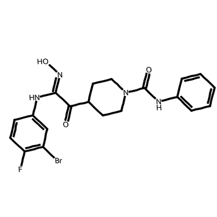 O=C(/C(=N/O)Nc1ccc(F)c(Br)c1)C1CCN(C(=O)Nc2ccccc2)CC1